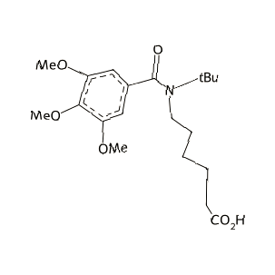 COc1cc(C(=O)N(CCCCCC(=O)O)C(C)(C)C)cc(OC)c1OC